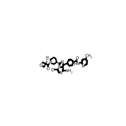 Cc1ccnc(NC(=O)c2ccc(-c3nc([C@@H]4CCCN(C(=O)C5(C)COC5)C4)n4c(Cl)cnc(N)c34)cc2)c1